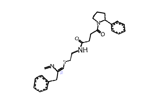 C=N/C(=C\SCCNC(=O)CCC(=O)N1CCCC1c1ccccc1)Cc1ccccc1